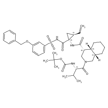 C=C[C@@H]1C[C@]1(NC(=O)[C@H]1CN(C(=O)[C@@H](NC(=O)OC(C)(C)C)C(C)C)C[C@H]2CCCC[C@H]21)C(=O)NS(=O)(=O)c1cccc(OCc2ccccc2)c1